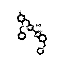 Cl.Clc1ccc(OCc2ccccc2)c(Cc2nc(-c3nc4cc(CN5CCCC5)ccc4[nH]3)co2)c1